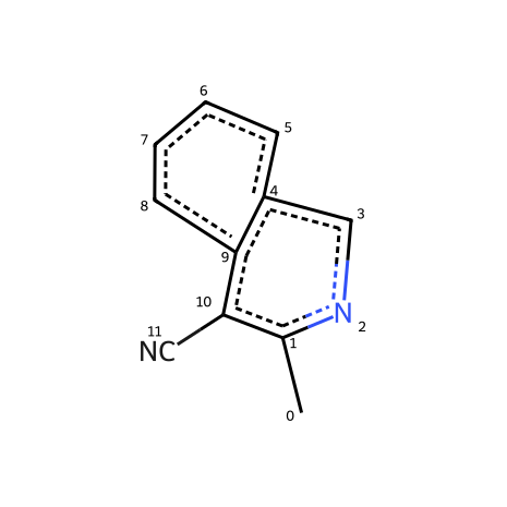 Cc1ncc2ccccc2c1C#N